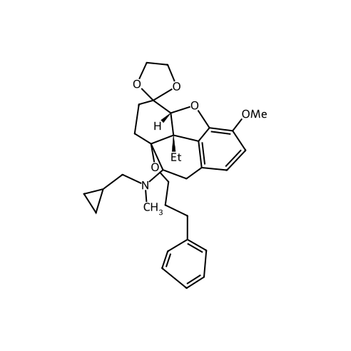 CC[C@]12c3c4ccc(OC)c3O[C@H]1C1(CCC2(OCCCc2ccccc2)C(N(C)CC2CC2)C4)OCCO1